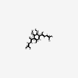 C/N=C1/C(/C(C)=C/C=C(C)C)=CC(C)=C(/C(C)=C/C=C(C)C)/C1=N/C